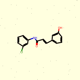 O=C(C=Cc1cccc(O)c1)Nc1cccc(Cl)c1